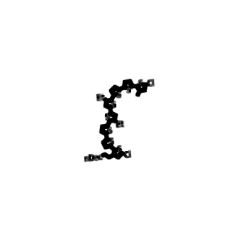 CCCCCCCCCCCCc1cc(Cl)sc1-c1ccc(-c2ccc(-c3sc(-c4cc(CC)c(-c5ccc(-c6ccc(-c7sc(Cl)cc7C)s6)s5)s4)cc3CC)s2)s1